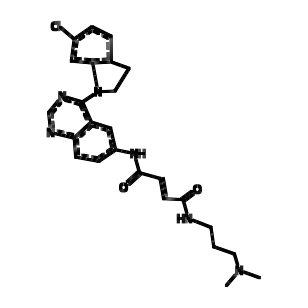 CN(C)CCCNC(=O)/C=C/C(=O)Nc1ccc2ncnc(N3CCc4ccc(Cl)cc43)c2c1